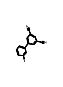 N#Cc1cc(C#N)cc(-c2cccc(I)c2)c1